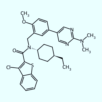 CC[C@H]1CC[C@H](N(Cc2cc(-c3cnc(N(C)C)nc3)ccc2OC)C(=O)c2sc3ccccc3c2Cl)CC1